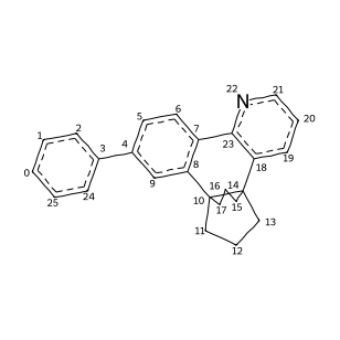 c1ccc(-c2ccc3c(c2)C24CCCC2(CCC4)c2cccnc2-3)cc1